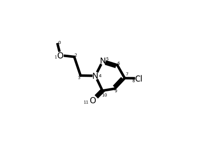 COCCn1ncc(Cl)cc1=O